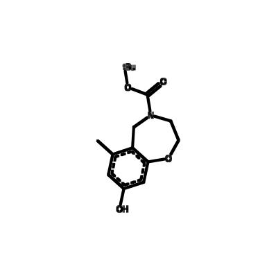 Cc1cc(O)cc2c1CN(C(=O)OC(C)(C)C)CCO2